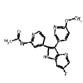 COc1ccc(-c2c(-c3ccnc(NC(C)=O)c3)[nH]c3cc(F)cnc23)cn1